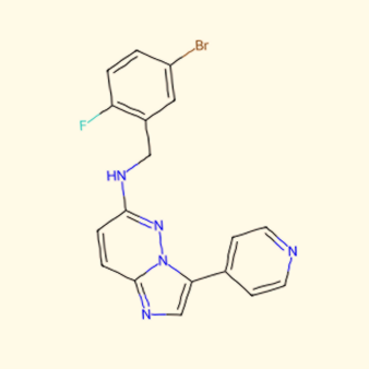 Fc1ccc(Br)cc1CNc1ccc2ncc(-c3ccncc3)n2n1